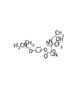 C[C@H](O)Cn1ncc(-c2oncc2C(=O)Oc2ccc(OCCN(C)C)cc2)c1C(F)(F)F